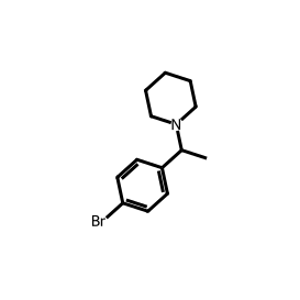 CC(c1ccc(Br)cc1)N1CCCCC1